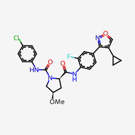 CO[C@@H]1C[C@H](C(=O)Nc2ccc(-c3nocc3C3CC3)cc2F)N(C(=O)Nc2ccc(Cl)cc2)C1